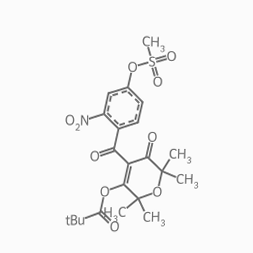 CC(C)(C)C(=O)OC1=C(C(=O)c2ccc(OS(C)(=O)=O)cc2[N+](=O)[O-])C(=O)C(C)(C)OC1(C)C